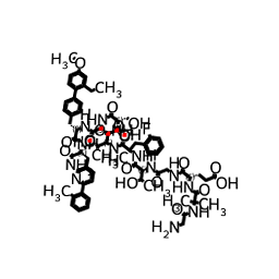 CCc1cc(OC)ccc1-c1ccc(C[C@H](NC(=O)[C@H](CC(=O)O)NC(=O)[C@H](CO)NC(=O)[C@@H](NC(=O)C(C)(Cc2ccccc2F)NC(=O)[C@@H](NC(=O)CNC(=O)[C@H](CCC(=O)O)NC(=O)C(C)(C)NC(=O)CN)C(C)O)C(C)O)C(=O)N[C@@H](Cc2ccc(-c3ccccc3C)nc2)C(N)=O)cc1